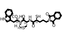 CN(C(=O)[C@@H](CS)NC(=O)[C@@H](S)CCCN1C(=O)c2ccccc2C1=O)[C@@H](Cc1c[nH]c2ccccc12)C(=O)O